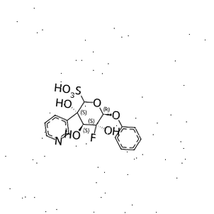 O=S(=O)(O)C1O[C@@H](Oc2ccccc2)[C@@](O)(F)[C@@H](O)[C@@]1(O)c1cccnc1